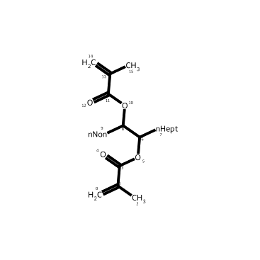 C=C(C)C(=O)OC(CCCCCCC)C(CCCCCCCCC)OC(=O)C(=C)C